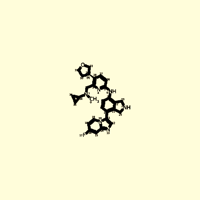 CN(Cc1nc(Nc2ccc(-c3cnc4cc(F)ccn34)c3c2CNC3)ccc1[C@H]1CCOC1)C1CC1